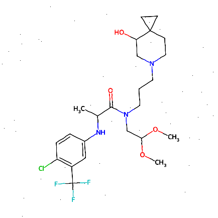 COC(CN(CCCN1CCC2(CC2)C(O)C1)C(=O)C(C)Nc1ccc(Cl)c(C(F)(F)F)c1)OC